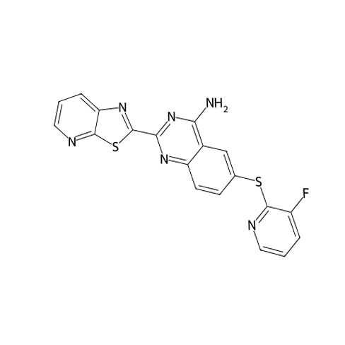 Nc1nc(-c2nc3cccnc3s2)nc2ccc(Sc3ncccc3F)cc12